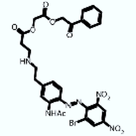 CC(=O)Nc1cc(CCNCCC(=O)OCC(=O)OCC(=O)c2ccccc2)ccc1N=Nc1c(Br)cc([N+](=O)[O-])cc1[N+](=O)[O-]